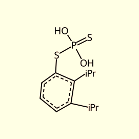 CC(C)c1cccc(SP(O)(O)=S)c1C(C)C